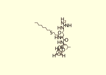 CCCCCCCCSCCC(=O)N[C@@H](CCCNC(=N)N)C(=O)N[C@@H](CC(C)C)B1O[C@@H]2C[C@@H]3C[C@@H](C3(C)C)[C@]2(C)O1